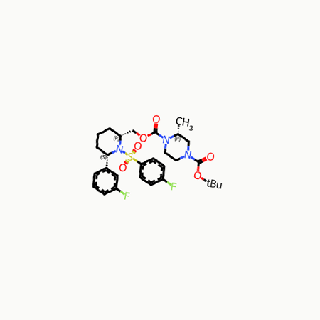 C[C@@H]1CN(C(=O)OC(C)(C)C)CCN1C(=O)OC[C@H]1CCC[C@@H](c2cccc(F)c2)N1S(=O)(=O)c1ccc(F)cc1